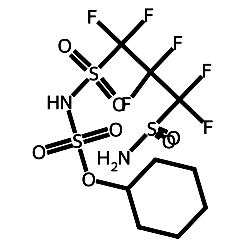 NS(=O)(=O)C(F)(F)C(F)(F)C(F)(F)S(=O)(=O)NS(=O)(=O)OC1CCCCC1